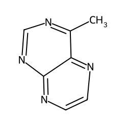 Cc1ncnc2nccnc12